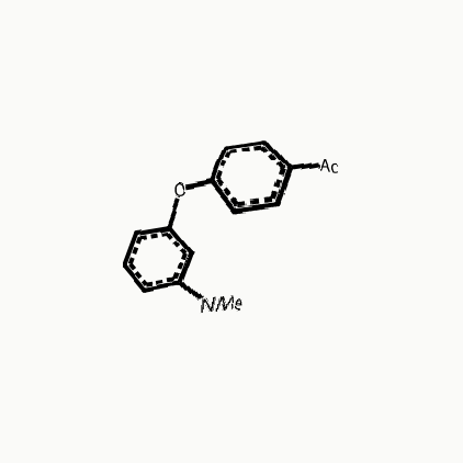 CNc1cccc(Oc2ccc(C(C)=O)cc2)c1